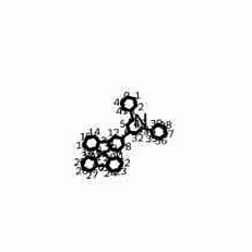 c1ccc(-c2cc(-c3ccc4c(c3)-c3ccccc3C43c4ccccc4-c4ccccc43)cc(-c3ccccc3)n2)cc1